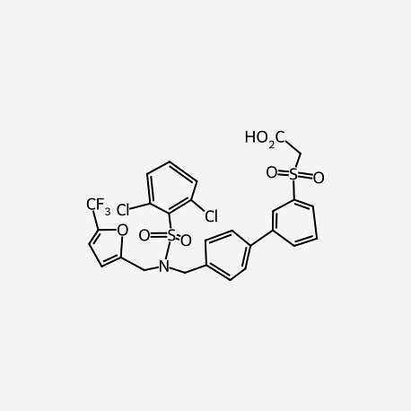 O=C(O)CS(=O)(=O)c1cccc(-c2ccc(CN(Cc3ccc(C(F)(F)F)o3)S(=O)(=O)c3c(Cl)cccc3Cl)cc2)c1